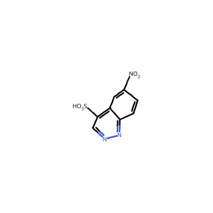 O=[N+]([O-])c1ccc2nncc(S(=O)(=O)O)c2c1